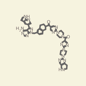 Nc1ncnc2c1c(-c1cnc3[nH]ccc3c1)nn2Cc1ccc2c(c1)CCC(C(=O)c1cnc(N3CCN(C(=O)c4cnc(N5CCN(c6ncc7c(n6)CCNC7)CC5)nc4)CC3)nc1)C2